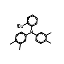 CCC(C)c1ccccc1N(c1ccc(C)c(C)c1)c1ccc(C)c(C)c1